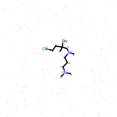 CCCC(C)(CCCl)CN(C)CCCN(C)C